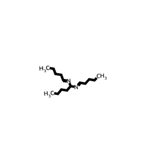 CCCCC=NC(CCCC)N=CCCCC